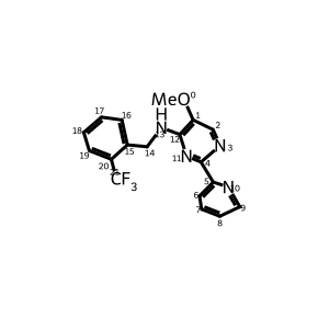 COc1cnc(-c2ccccn2)nc1NCc1ccccc1C(F)(F)F